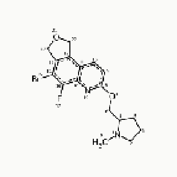 CN1CCCC1COc1ccc2c3c(c(Br)c(F)c2n1)COC3